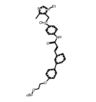 CCCCOCCOc1ccc(-c2cccc(/C=C/C(=O)Nc3ccc([S@@+]([O-])Cc4c(C)ncn4CC)cc3)c2)cc1